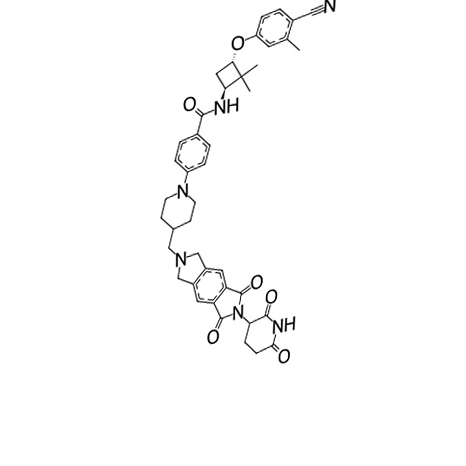 Cc1cc(O[C@H]2C[C@H](NC(=O)c3ccc(N4CCC(CN5Cc6cc7c(cc6C5)C(=O)N(C5CCC(=O)NC5=O)C7=O)CC4)cc3)C2(C)C)ccc1C#N